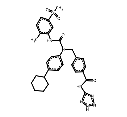 Cc1ccc(S(C)(=O)=O)cc1NC(=O)N(Cc1ccc(C(=O)Nc2nn[nH]n2)cc1)c1ccc(C2CCCCC2)cc1